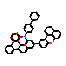 c1ccc(-c2ccc(N(c3cccc(-c4ccc5c(c4)-c4cccc6cccc(c46)O5)c3)c3ccccc3-c3ccccc3-c3ccccc3-c3ccccc3)cc2)cc1